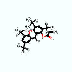 C=CC(=O)Oc1c(C(CCC)c2cc(C(C)(C)CC)cc(C(C)(C)CC)c2O)cc(C(C)(C)CC)cc1C(C)(C)CC